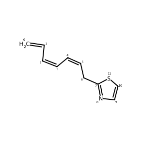 C=C/C=C\C=C/Cc1nccs1